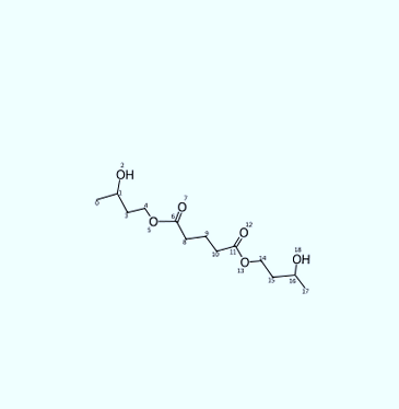 CC(O)CCOC(=O)CCCC(=O)OCCC(C)O